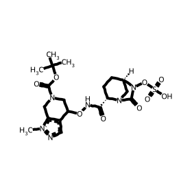 Cn1ncc2c1CN(C(=O)OC(C)(C)C)CC2ONC(=O)[C@@H]1CC[C@@H]2CN1C(=O)N2OS(=O)(=O)O